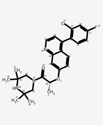 C[C@@H](Oc1ccc2c(-c3ccc(F)cc3Cl)ccnc2c1)C(=O)N1CC(C)(C)NC(C)(C)C1